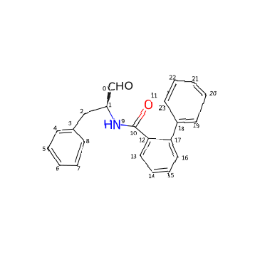 O=C[C@H](Cc1ccccc1)NC(=O)c1ccccc1-c1ccccc1